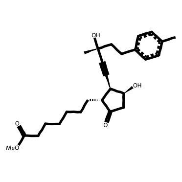 COC(=O)CCCCCC[C@H]1C(=O)C[C@H](O)[C@@H]1C#C[C@](C)(O)CCc1ccc(C)cc1